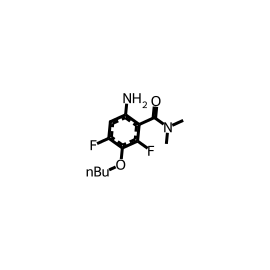 CCCCOc1c(F)cc(N)c(C(=O)N(C)C)c1F